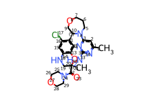 Cc1cc(N2CCCOC[C@@H]2c2cc3c(cc2Cl)NC[C@@](C)(C(=O)N2CCOCC2)O3)nc(N)n1